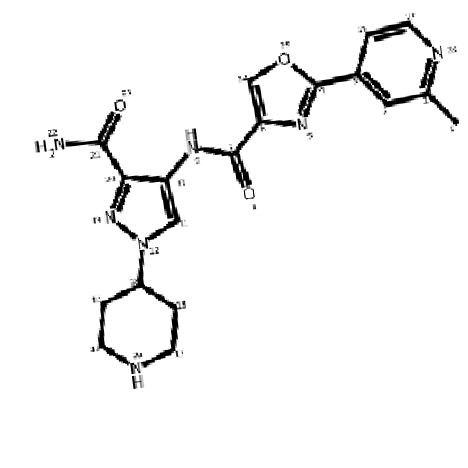 Cc1cc(-c2nc(C(=O)Nc3cn(C4CCNCC4)nc3C(N)=O)co2)ccn1